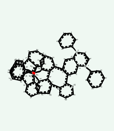 c1ccc(-n2ccn(-c3ccccc3)c3cc4c(cc32)c2cccc(-n3c5ccccc5c5ccccc53)c2c2c(-n3c5ccccc5c5ccccc53)cccc2c2cccnc42)cc1